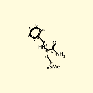 CSCC[C@H](NCc1ccccc1)C(N)=O